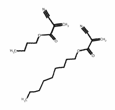 C=C(C#N)C(=O)OCCCC.C=C(C#N)C(=O)OCCCCCCCCC